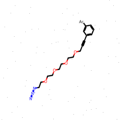 CC(=O)c1cccc(C#CCOCCOCCOCCOCCN=[N+]=[N-])c1